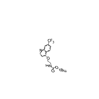 CC(C)(C)OC(=O)NCCOc1ccnc2cc(C(F)(F)F)ccc12